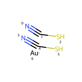 N#CS.N#CS.[Au]